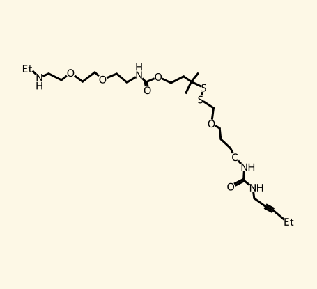 CCC#CCNC(=O)NCCCCOCSSC(C)(C)CCOC(=O)NCCOCCOCCNCC